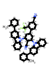 Cc1ccccc1-c1ccc2c3ccccc3n(-c3cc(-c4ccc(C#N)cc4C(F)(F)F)cc(-n4c5ccccc5c5ccc(-c6ccccc6C)cc54)c3C#N)c2c1